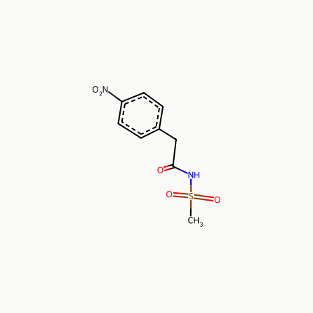 CS(=O)(=O)NC(=O)Cc1ccc([N+](=O)[O-])cc1